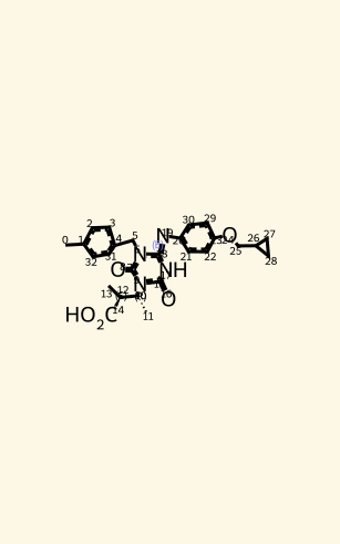 Cc1ccc(Cn2c(=O)n([C@H](C)[C@H](C)C(=O)O)c(=O)[nH]/c2=N\c2ccc(OCC3CC3)cc2)cc1